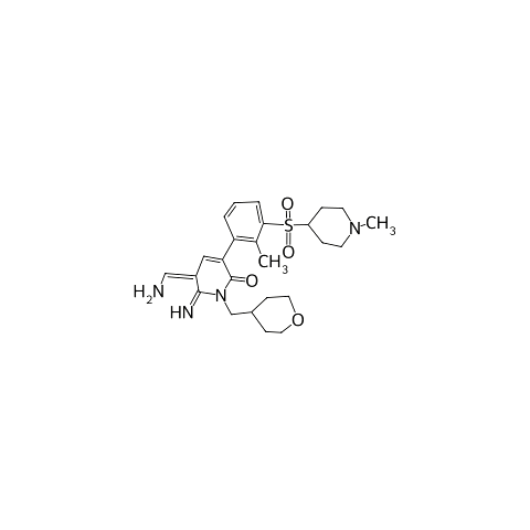 Cc1c(C2=C/C(=C/N)C(=N)N(CC3CCOCC3)C2=O)cccc1S(=O)(=O)C1CCN(C)CC1